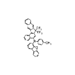 Cc1ccc(N(c2cc3c(c4ccccc24)-c2cc4ccccc4cc2C3(C)C)c2cccc3c2oc2ccccc23)cc1